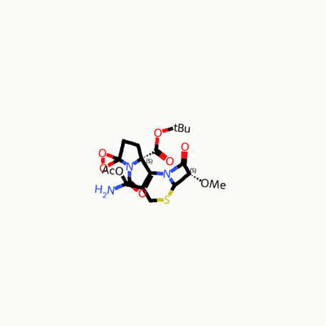 CO[C@H]1C(=O)N2C([C@]3(C(=O)OC(C)(C)C)CCC4(OO4)N3C(N)=O)=C(COC(C)=O)CSC12